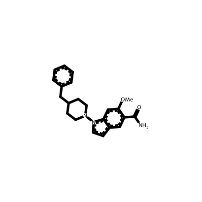 COc1cc2c(ccn2N2CCC(Cc3ccccc3)CC2)cc1C(N)=O